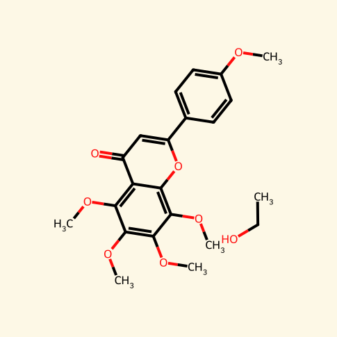 CCO.COc1ccc(-c2cc(=O)c3c(OC)c(OC)c(OC)c(OC)c3o2)cc1